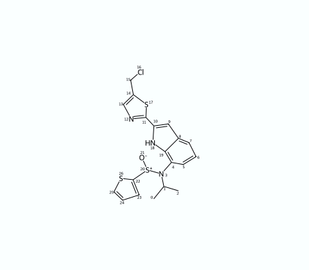 CC(C)N(c1cccc2cc(-c3ncc(CCl)s3)[nH]c12)[S+]([O-])c1cccs1